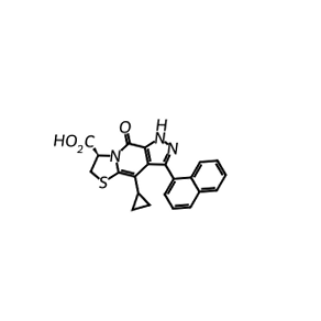 O=C(O)[C@@H]1CSc2c(C3CC3)c3c(-c4cccc5ccccc45)n[nH]c3c(=O)n21